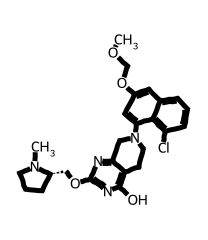 COCOc1cc(N2CCc3c(O)nc(OC[C@@H]4CCCN4C)nc3C2)c2c(Cl)cccc2c1